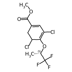 COC(=O)C1=CC(Cl)=C(O[C@@H](C)C(F)(F)F)C(Cl)C1